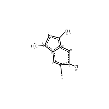 Cc1nn(C)c2cc(F)c(Cl)cc12